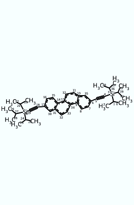 CC(C)[Si](C#Cc1ccc2c(ccc3c4ccc(C#C[Si](C(C)C)(C(C)C)C(C)C)cc4ccc23)c1)(C(C)C)C(C)C